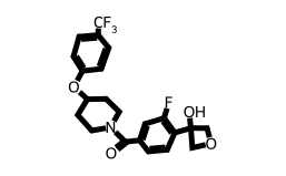 O=C(c1ccc(C2(O)COC2)c(F)c1)N1CCC(Oc2ccc(C(F)(F)F)cc2)CC1